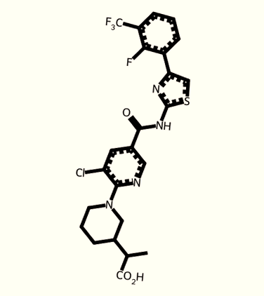 CC(C(=O)O)C1CCCN(c2ncc(C(=O)Nc3nc(-c4cccc(C(F)(F)F)c4F)cs3)cc2Cl)C1